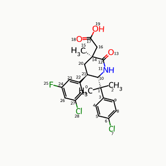 CC(C)(c1ccc(Cl)cc1)[C@H]1NC(=O)[C@](C)(CC(=O)O)C[C@@H]1c1cc(F)cc(Cl)c1